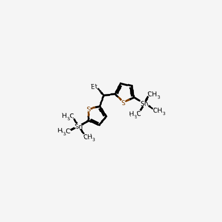 CCC(c1cc[c]([Sn]([CH3])([CH3])[CH3])s1)c1cc[c]([Sn]([CH3])([CH3])[CH3])s1